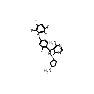 Nc1ncnc2c1c(-c1ccc(Oc3c(F)c(F)cc(F)c3F)cc1F)nn2[C@H]1CC[C@H](N)C1